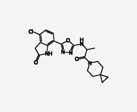 CC(Nc1nnc(-c2ccc(Cl)c3c2NC(=O)C3)o1)C(=O)N1CCC2(CC1)CC2